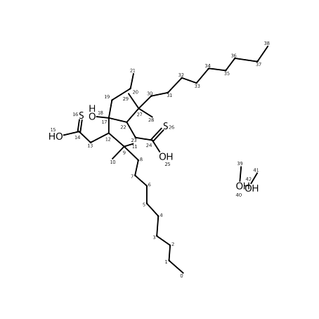 CCCCCCCCCC(C)(C)C(CC(O)=S)C(O)(CCC)C(CC(O)=S)C(C)(C)CCCCCCCCC.CO.CO